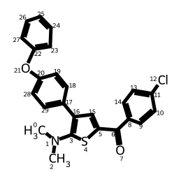 CN(C)c1sc(C(=O)c2ccc(Cl)cc2)cc1-c1ccc(Oc2ccccc2)cc1